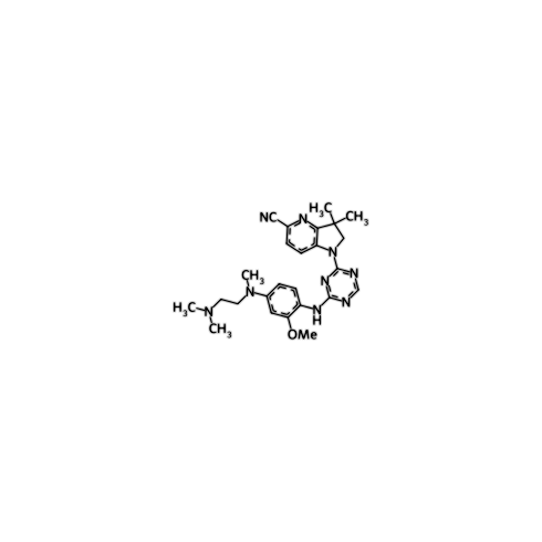 COc1cc(N(C)CCN(C)C)ccc1Nc1ncnc(N2CC(C)(C)c3nc(C#N)ccc32)n1